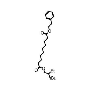 CCCCC(CC)COC(=O)CCCCCCCCC(=O)OCCc1ccccc1